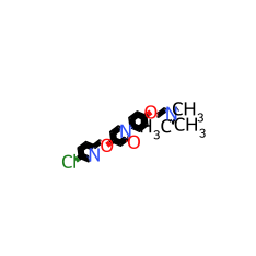 CC(C)N(C)CCOc1ccc(-n2ccc(OCc3ccc(Cl)cn3)cc2=O)cc1